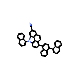 N#Cc1cc2ccc3c(-c4ccc(-c5cccc6ccccc56)c5ccccc45)ccc4c3c2c(c1)n4-c1cccc2ccccc12